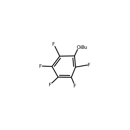 CC(C)COc1c(F)c(F)c(F)c(F)c1F